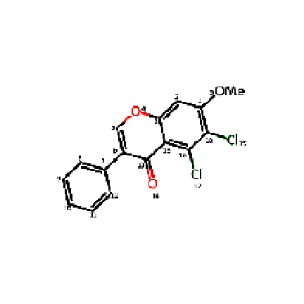 COc1cc2occ(-c3ccccc3)c(=O)c2c(Cl)c1Cl